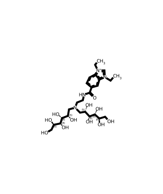 CCn1c[n+](CC)c2ccc(C(=O)NCCN(C[C@H](O)[C@@H](O)[C@H](O)[C@H](O)CO)C[C@H](O)[C@@H](O)[C@H](O)[C@H](O)CO)cc21